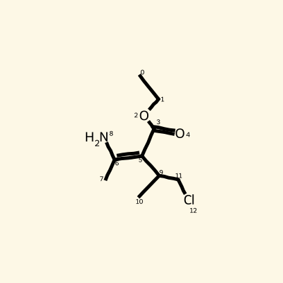 CCOC(=O)C(=C(C)N)C(C)CCl